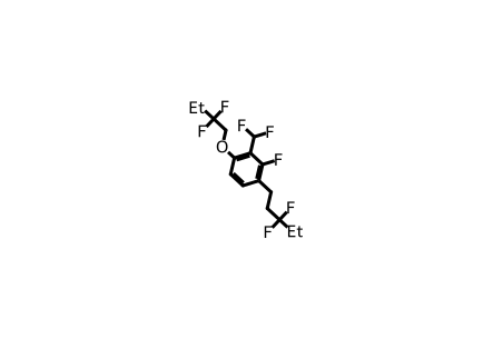 CCC(F)(F)CCc1ccc(OCC(F)(F)CC)c(C(F)F)c1F